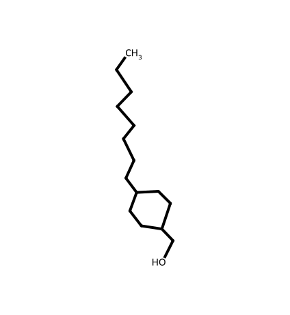 CCCCCCCCC1CCC(CO)CC1